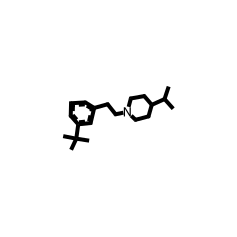 CC(C)C1CCN(CCc2cccc(C(C)(C)C)c2)CC1